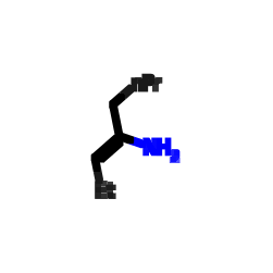 CCC=C(N)CCCC